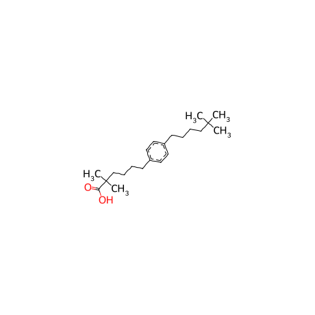 CC(C)(C)CCCCc1ccc(CCCCC(C)(C)C(=O)O)cc1